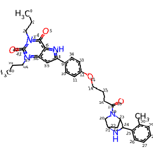 CCCn1c(=O)c2[nH]c(-c3ccc(OCCCC(=O)N4CC5CC4C(c4ccccc4C)N5)cc3)cc2n(CCC)c1=O